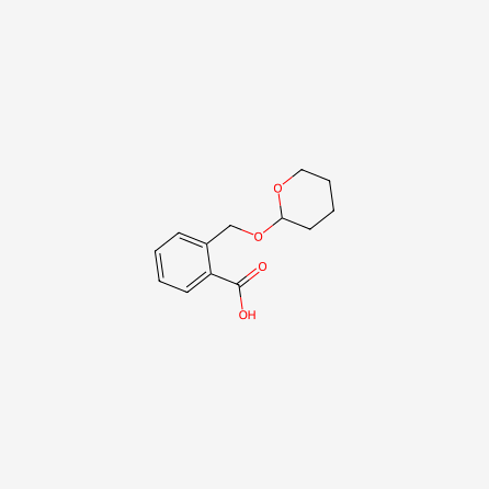 O=C(O)c1ccccc1COC1CCCCO1